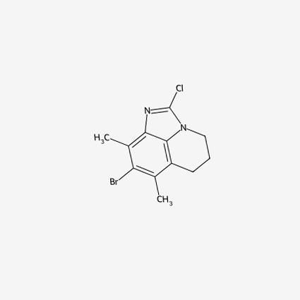 Cc1c(Br)c(C)c2nc(Cl)n3c2c1CCC3